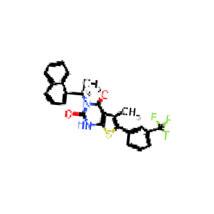 Cc1c(-c2cccc(C(F)(F)F)c2)sc2[nH]c(=O)n([C@H](C)c3cccc4ccccc34)c(=O)c12